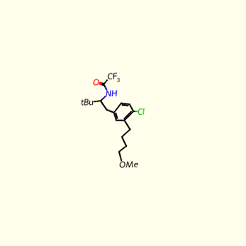 COCCCCc1cc(CC(NC(=O)C(F)(F)F)C(C)(C)C)ccc1Cl